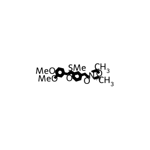 COc1ccc(-c2oc3ccc(CC(=O)N4C[C@@H](C)O[C@@H](C)C4)cc3c2SC)cc1OC